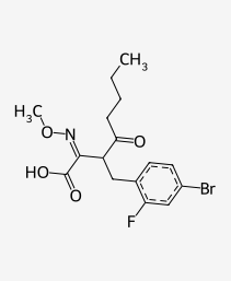 CCCCC(=O)C(Cc1ccc(Br)cc1F)/C(=N/OC)C(=O)O